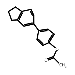 CC(=O)Oc1ccc(-c2ccc3c(c2)CCC3)cc1